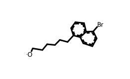 [O]CCCCCCc1cccc2c(Br)cccc12